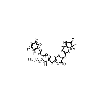 CC1(C)C(=O)Nc2ncc(CN3CCN(CC(=O)N[C@@H](CC(=O)O)C(=O)COc4c(F)c(F)cc(F)c4F)CC3=O)cc21